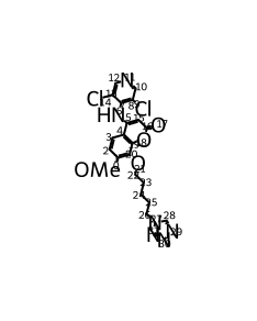 COc1ccc2c(Nc3c(Cl)cncc3Cl)cc(=O)oc2c1OCCCCCn1cnnn1